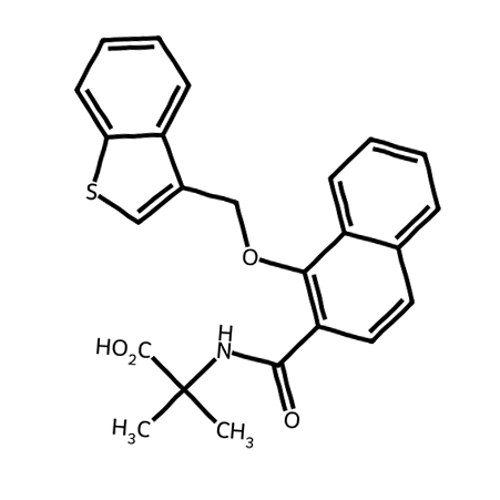 CC(C)(NC(=O)c1ccc2ccccc2c1OCc1csc2ccccc12)C(=O)O